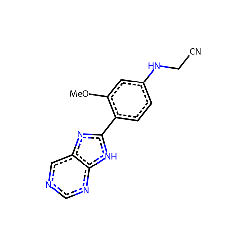 COc1cc(NCC#N)ccc1-c1nc2cncnc2[nH]1